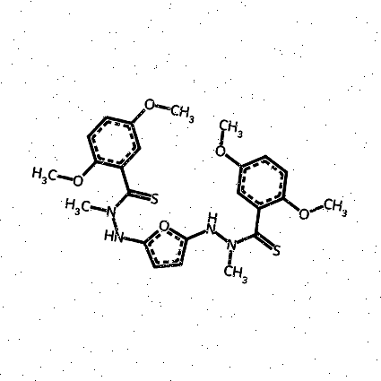 COc1ccc(OC)c(C(=S)N(C)Nc2ccc(NN(C)C(=S)c3cc(OC)ccc3OC)o2)c1